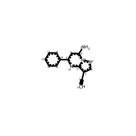 C#Cc1cnn2c(N)cc(-c3ccccc3)nc12